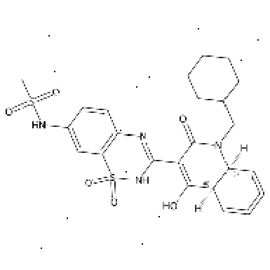 CS(=O)(=O)Nc1ccc2c(c1)S(=O)(=O)NC(C1=C(O)[C@@H]3C=C=C=C[C@@H]3N(CC3CCCCC3)C1=O)=N2